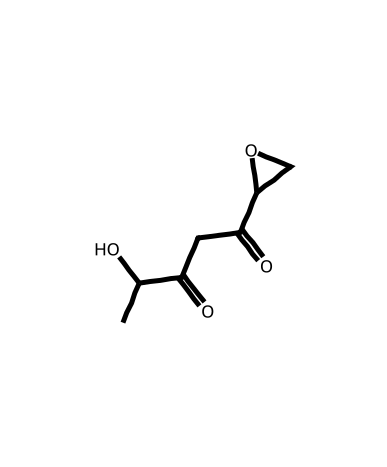 CC(O)C(=O)CC(=O)C1CO1